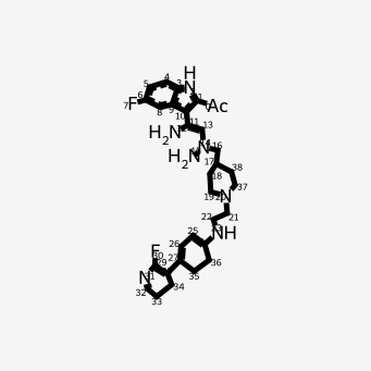 CC(=O)c1[nH]c2ccc(F)cc2c1/C(N)=C/N(N)CC1CCN(CCNC2=CC=C(C3=C(F)N=CCC3)CC2)CC1